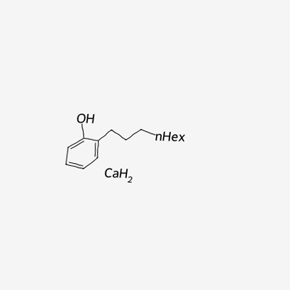 CCCCCCCCCc1ccccc1O.[CaH2]